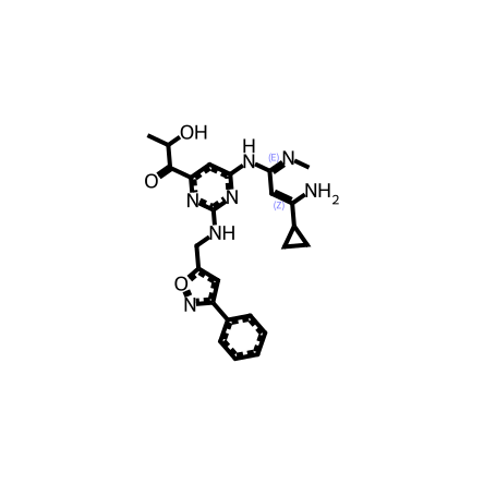 C/N=C(\C=C(/N)C1CC1)Nc1cc(C(=O)C(C)O)nc(NCc2cc(-c3ccccc3)no2)n1